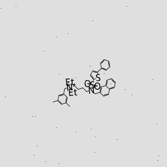 CC[N+](CC)(CCCCN(Cc1ccc2ccccc2c1)S(=O)(=O)c1ccc(-c2ccccc2)s1)Cc1cc(C)cc(C)c1